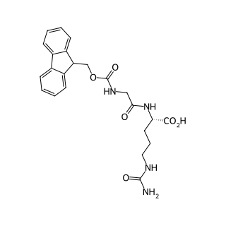 NC(=O)NCCC[C@H](NC(=O)CNC(=O)OCC1c2ccccc2-c2ccccc21)C(=O)O